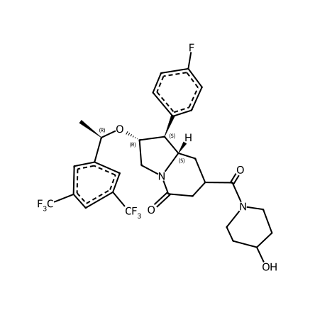 C[C@@H](O[C@H]1CN2C(=O)CC(C(=O)N3CCC(O)CC3)C[C@H]2[C@@H]1c1ccc(F)cc1)c1cc(C(F)(F)F)cc(C(F)(F)F)c1